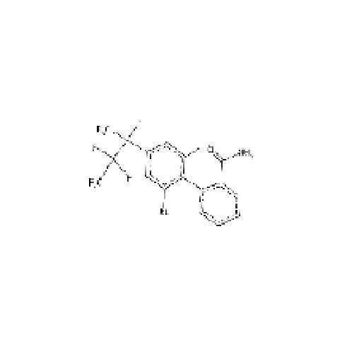 CCc1cc(C(F)(C(F)(F)F)C(F)(F)C(F)(F)F)cc(C)c1-c1ccccc1C(N)=O